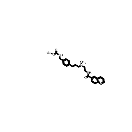 CN(CCCc1ccc(CNC(=O)OC(C)(C)C)cc1)CCNC(=O)c1ccc2ncccc2c1